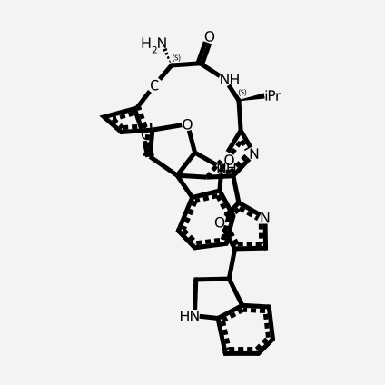 CC(C)[C@@H]1NC(=O)[C@@H](N)Cc2ccc3c(c2)C2(c4ccccc4NC2O3)c2oc1nc2-c1ncc(C2CNc3ccccc32)o1